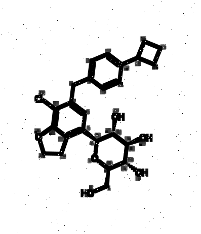 OC[C@H]1O[C@@H](c2cc(Cc3ccc(C4CCC4)cc3)c(Cl)c3c2CCO3)[C@H](O)[C@@H](O)[C@@H]1O